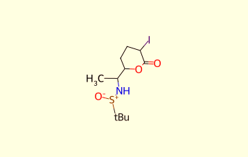 CC(N[S+]([O-])C(C)(C)C)C1CCC(I)C(=O)O1